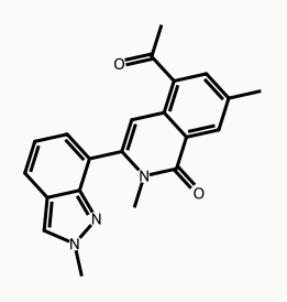 CC(=O)c1cc(C)cc2c(=O)n(C)c(-c3cccc4cn(C)nc34)cc12